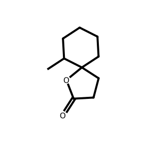 CC1CCCCC12CCC(=O)O2